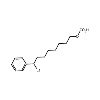 CCC(CCCCCCCOC(=O)O)c1ccccc1